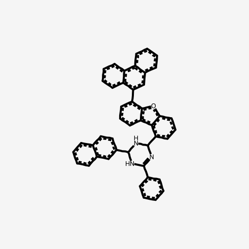 c1ccc(C2=NC(c3cccc4oc5c(-c6cc7ccccc7c7ccccc67)cccc5c34)NC(c3ccc4ccccc4c3)N2)cc1